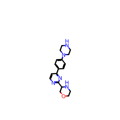 c1cc(-c2ccc(N3CCNCC3)cc2)nc(C2COCCN2)n1